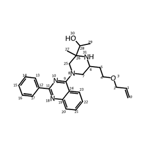 C=CCOCCC1CN(c2nc(-c3ccccc3)nc3ccccc23)CC(C)(C(C)O)N1